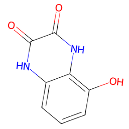 O=c1[nH]c2cccc(O)c2[nH]c1=O